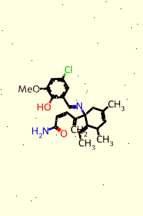 C=C(/C=C\C(N)=O)C1(/N=C/c2cc(Cl)cc(OC)c2O)CC(C)=CC(C)/C1=C\C